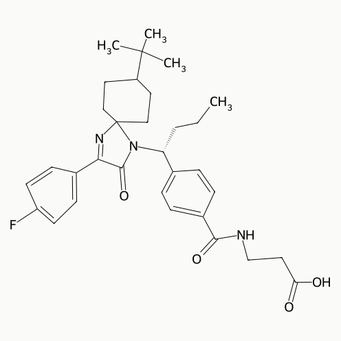 CCC[C@H](c1ccc(C(=O)NCCC(=O)O)cc1)N1C(=O)C(c2ccc(F)cc2)=NC12CCC(C(C)(C)C)CC2